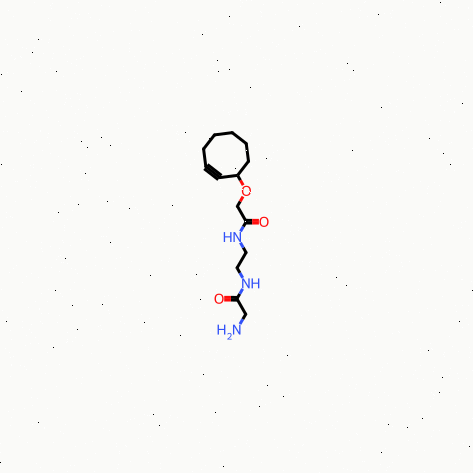 NCC(=O)NCCNC(=O)COC1C#CCCCCC1